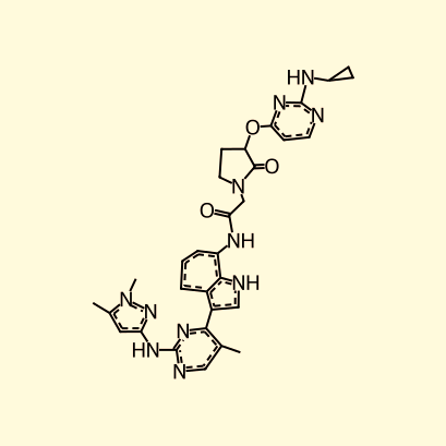 Cc1cnc(Nc2cc(C)n(C)n2)nc1-c1c[nH]c2c(NC(=O)CN3CCC(Oc4ccnc(NC5CC5)n4)C3=O)cccc12